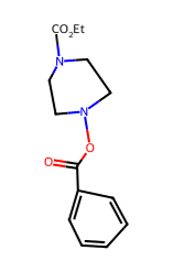 CCOC(=O)N1CCN(OC(=O)c2ccccc2)CC1